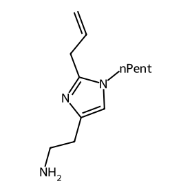 C=CCc1nc(CCN)cn1CCCCC